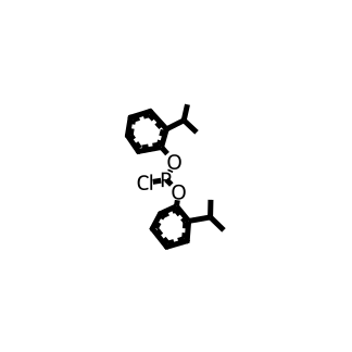 CC(C)c1ccccc1OP(Cl)Oc1ccccc1C(C)C